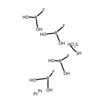 O=S(=O)(O)S.OB(O)F.OB(O)F.OB(O)F.OB(O)F.[Pt].[Pt]